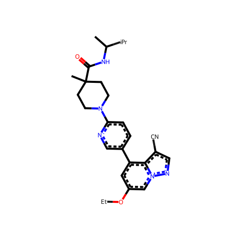 CCOc1cc(-c2ccc(N3CCC(C)(C(=O)NC(C)C(C)C)CC3)nc2)c2c(C#N)cnn2c1